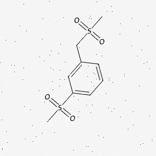 CS(=O)(=O)Cc1cccc(S(C)(=O)=O)c1